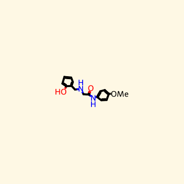 COc1ccc(NC(=O)CNCc2ccccc2O)cc1